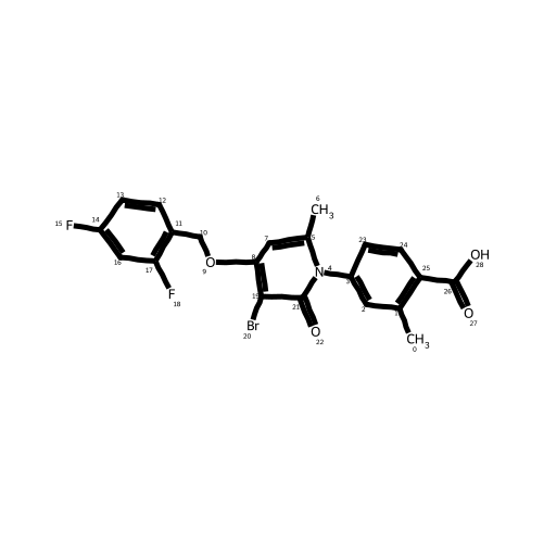 Cc1cc(-n2c(C)cc(OCc3ccc(F)cc3F)c(Br)c2=O)ccc1C(=O)O